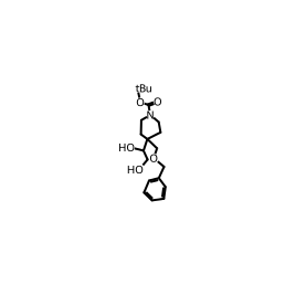 CC(C)(C)OC(=O)N1CCC(COCc2ccccc2)(C(O)CO)CC1